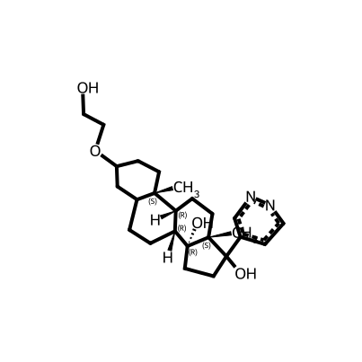 C[C@]12CCC(OCCO)CC1CC[C@@H]1[C@H]2CC[C@]2(C)C(O)(c3ccnnc3)CC[C@@]12O